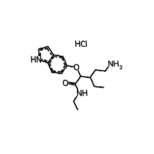 CCNC(=O)C(Oc1ccc2[nH]ccc2c1)C(CC)CCN.Cl